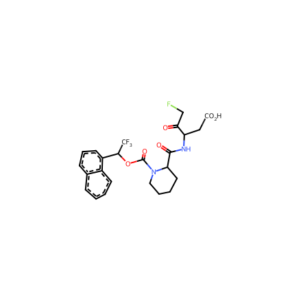 O=C(O)CC(NC(=O)C1CCCCN1C(=O)OC(c1cccc2ccccc12)C(F)(F)F)C(=O)CF